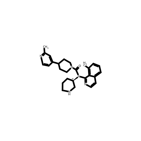 Cc1cc(C2CCN(C(=O)N(c3nccc4cccc(C)c34)[C@@H]3CCCNC3)CC2)ccn1